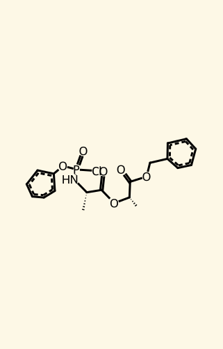 C[C@H](NP(=O)(Cl)Oc1ccccc1)C(=O)O[C@@H](C)C(=O)OCc1ccccc1